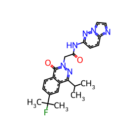 CC(C)c1nn(CC(=O)Nc2ccc3nccn3n2)c(=O)c2ccc(C(C)(C)F)cc12